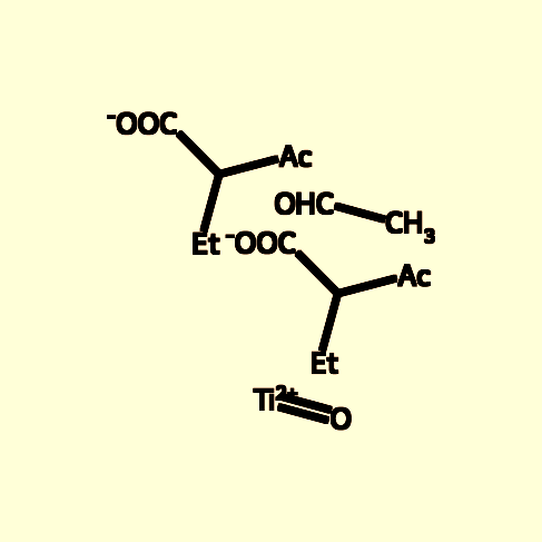 CC=O.CCC(C(C)=O)C(=O)[O-].CCC(C(C)=O)C(=O)[O-].[O]=[Ti+2]